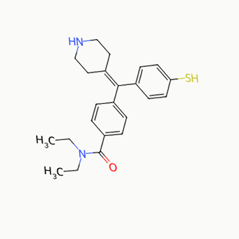 CCN(CC)C(=O)c1ccc(C(=C2CCNCC2)c2ccc(S)cc2)cc1